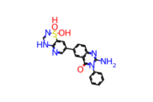 Nc1nc2ccc(-c3cnc4c(c3)S(O)(O)N=CN4)cc2c(=O)n1-c1ccccc1